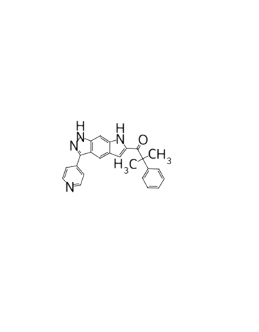 CC(C)(C(=O)c1cc2cc3c(-c4ccncc4)n[nH]c3cc2[nH]1)c1ccccc1